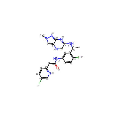 CCn1cc2ncc(N[C@@H](C)c3cc(NC(=O)Cc4ccc(F)cn4)ccc3F)nc2n1